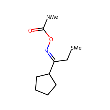 CNC(=O)ON=C(CSC)C1CCCC1